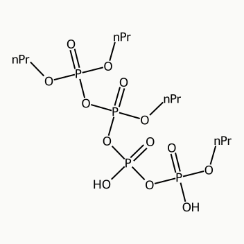 CCCOP(=O)(O)OP(=O)(O)OP(=O)(OCCC)OP(=O)(OCCC)OCCC